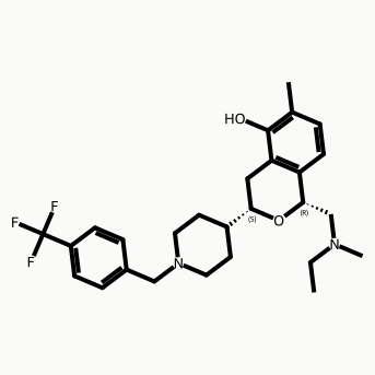 CCN(C)C[C@@H]1O[C@H](C2CCN(Cc3ccc(C(F)(F)F)cc3)CC2)Cc2c1ccc(C)c2O